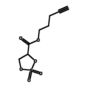 C#CCCCOC(=O)C1COS(=O)(=O)O1